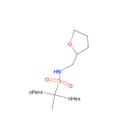 CCCCCCC(C)(CCCCC)S(=O)(=O)NCC1CCCO1